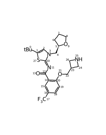 CC(C)(C)c1cn(C[C@H]2CCCO2)/c(=N/C(=O)c2cc(C(F)(F)F)ccc2OCC2CNC2)s1